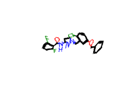 O=C(Nc1ccn(Cc2cc(OCc3ccccc3)ccc2Cl)n1)c1c(F)cccc1F